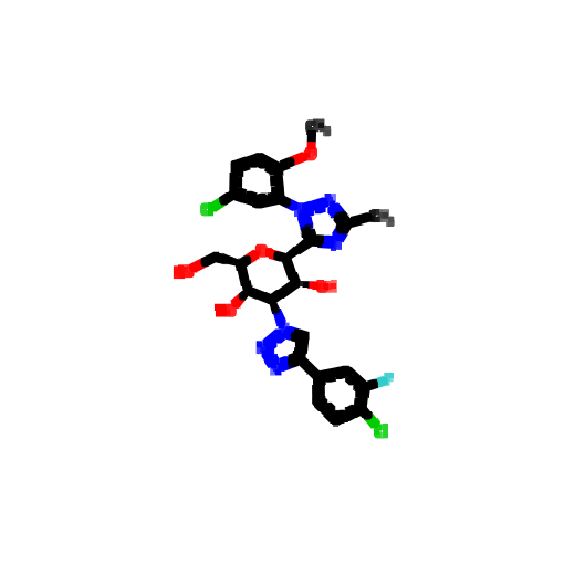 COc1ccc(Cl)cc1-n1nc(C)nc1[C@@H]1O[C@H](CO)[C@H](O)[C@H](n2cc(-c3ccc(Cl)c(F)c3)nn2)[C@H]1O